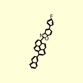 Fc1ccc(C2=CC3N=C(c4ccc5ccc6c(-c7ccc8ccccc8c7)ccc7ccc4c5c76)OC3C=C2)cc1